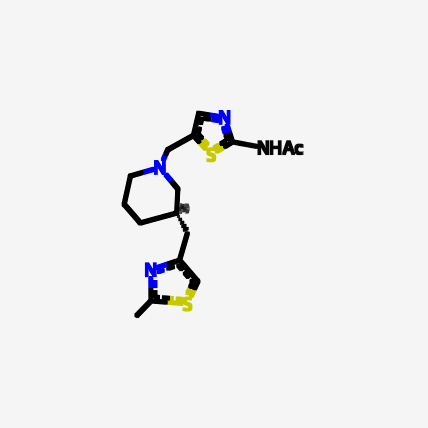 CC(=O)Nc1ncc(CN2CCC[C@@H](Cc3csc(C)n3)C2)s1